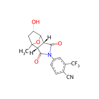 CC12C[C@H](O)C(O1)[C@@H]1C(=O)N(c3ccc(C#N)c(C(F)(F)F)c3)C(=O)[C@@H]12